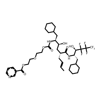 C/C=C/C[C@H](C[C@H](O)[C@H](CC1CCCCC1)NC(=O)OCCOCCOC(=O)c1cccnc1)C(=O)N[C@@H](CC1CCCCC1)[C@@H](O)C(F)(F)C(F)(F)C(F)(F)F